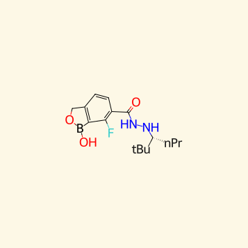 CCC[C@@H](NNC(=O)c1ccc2c(c1F)B(O)OC2)C(C)(C)C